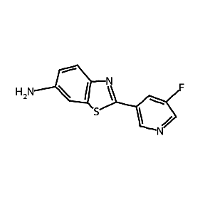 Nc1ccc2nc(-c3cncc(F)c3)sc2c1